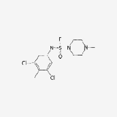 Cc1c(Cl)cc(N=S(=O)(F)N2CCN(C)CC2)cc1Cl